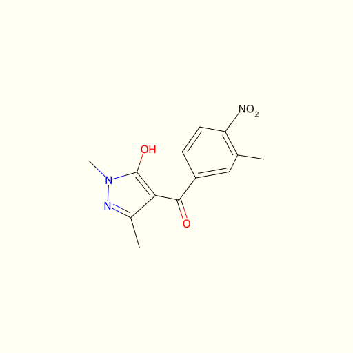 Cc1cc(C(=O)c2c(C)nn(C)c2O)ccc1[N+](=O)[O-]